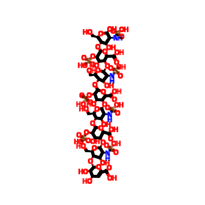 O=C(O)C1=C[C@H](O)[C@@H](O)[C@H](O[C@H]2[C@H](O)[C@@H](NS(=O)(=O)O)[C@@H](O[C@@H]3C(C(=O)O)OC(O[C@H]4[C@H](O)[C@@H](NS(=O)(=O)O)[C@@H](O[C@@H]5C(C(=O)O)OC(O[C@H]6[C@H](O)[C@@H](NS(=O)(=O)O)[C@@H](O[C@@H]7C(C(=O)O)OC(O[C@H]8[C@H](O)[C@@H](NS(=O)(=O)O)[C@@H](O)O[C@@H]8CO)[C@H](OS(=O)(=O)O)[C@H]7O)O[C@@H]6CO)[C@H](OS(=O)(=O)O)[C@H]5O)O[C@@H]4CO)[C@H](OS(=O)(=O)O)[C@H]3O)O[C@@H]2CO)O1